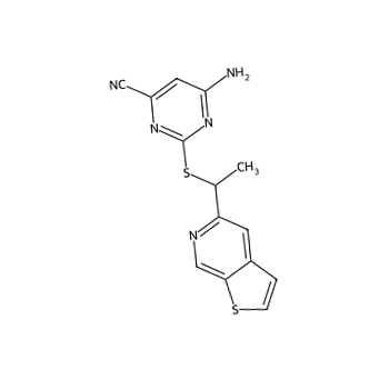 CC(Sc1nc(N)cc(C#N)n1)c1cc2ccsc2cn1